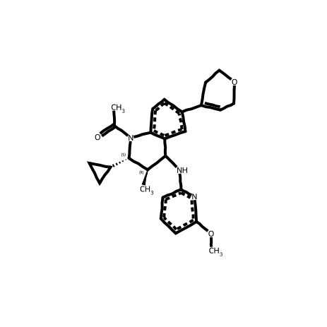 COc1cccc(NC2c3cc(C4=CCOCC4)ccc3N(C(C)=O)[C@@H](C3CC3)[C@@H]2C)n1